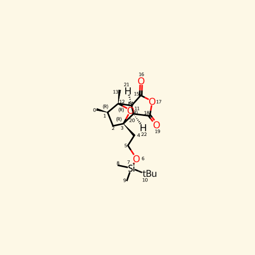 C[C@@H]1C[C@]2(CCO[Si](C)(C)C(C)(C)C)O[C@@]1(C)[C@H]1C(=O)OC(=O)[C@H]12